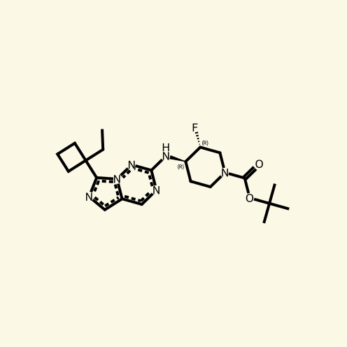 CCC1(c2ncc3cnc(N[C@@H]4CCN(C(=O)OC(C)(C)C)C[C@H]4F)nn23)CCC1